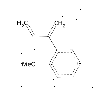 C=CC(=C)c1ccccc1OC